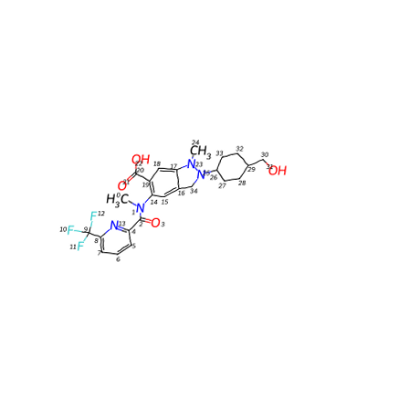 CN(C(=O)c1cccc(C(F)(F)F)n1)c1cc2c(cc1C(=O)O)N(C)N(C1CCC(CO)CC1)C2